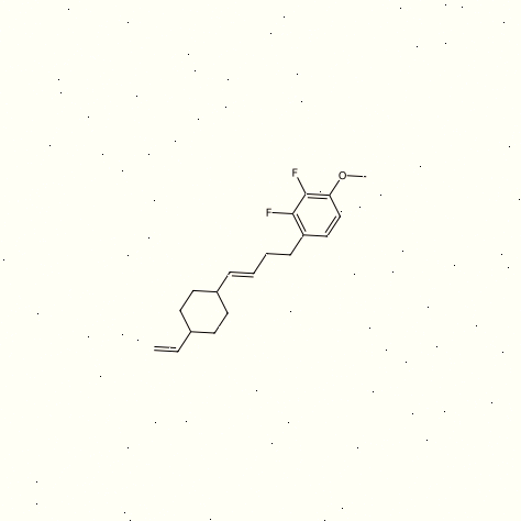 C=CC1CCC(C=CCCc2ccc(OC)c(F)c2F)CC1